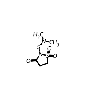 CN(C)SN1C(=O)CCS1(=O)=O